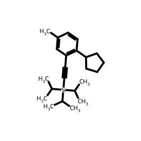 Cc1ccc(C2CCCC2)c(C#C[Si](C(C)C)(C(C)C)C(C)C)c1